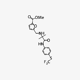 COC(=O)c1ccc(CNC(C)(C)C(=O)Nc2ccc(SC(F)(F)F)cc2)o1